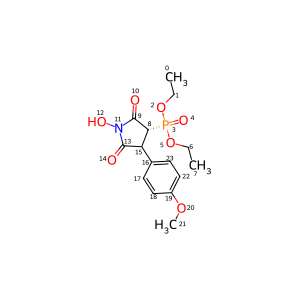 CCOP(=O)(OCC)[C@H]1C(=O)N(O)C(=O)C1c1ccc(OC)cc1